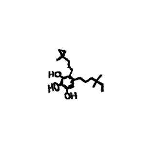 CCC(C)(C)CCCc1cc(O)c(O)c(O)c1CCCC1(C)CC1